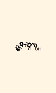 Cc1c(B2OC(C)(C)C(C)(C)O2)cccc1-c1nc2cc(CN3CCC(O)C3)cc(Cl)c2o1